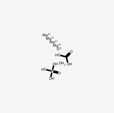 O.O=C(O)O.O=P(O)(O)O.[Mg+2].[Mg+2].[Mg+2].[Mg+2].[O-2]